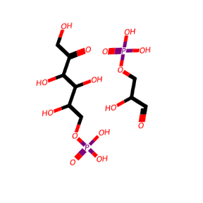 O=C(CO)C(O)C(O)C(O)COP(=O)(O)O.O=CC(O)COP(=O)(O)O